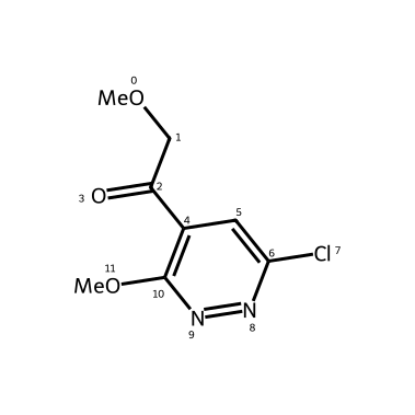 COCC(=O)c1cc(Cl)nnc1OC